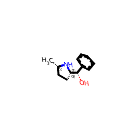 C[C@H]1CC[C@@H]([C@@H](O)c2ccccc2)N1